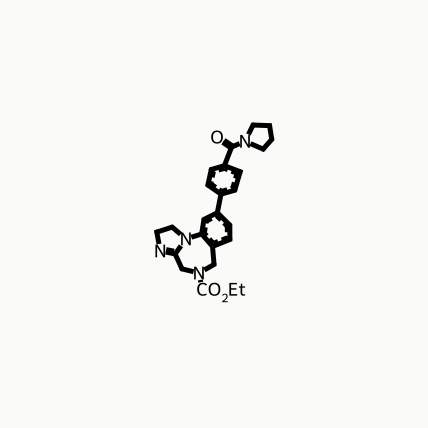 CCOC(=O)N1CC2=NCCN2c2cc(-c3ccc(C(=O)N4CCCC4)cc3)ccc2C1